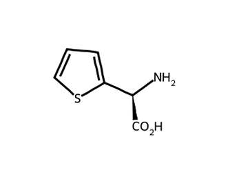 N[C@@H](C(=O)O)c1cccs1